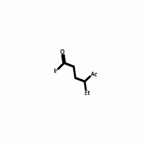 CCC(CC[C](=O)[Ir])C(C)=O